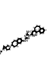 N#C[C@@H]1CC12CCN([C@H]1CCc3ccc(Nc4nc(N)n(-c5cc6c(nn5)-c5ccccc5CCC6)n4)cc3CC1)C2